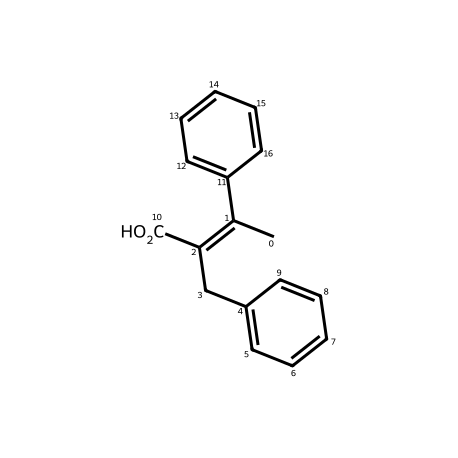 CC(=C(Cc1ccccc1)C(=O)O)c1ccccc1